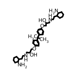 CC(C)(c1ccc(OCC(O)CNCCC2CCCCC2N)cc1)c1ccc(OCC(O)CNCCC2CCCCC2N)cc1